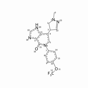 CN1CC(c2cn(-c3ccc(OC(F)(F)F)cc3)c(=O)c3nc[nH]c23)C=N1